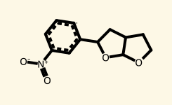 O=[N+]([O-])c1cc[c]c(C2CC3CCOC3O2)c1